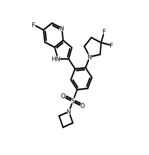 O=S(=O)(c1ccc(N2CCC(F)(F)C2)c(-c2cc3ncc(F)cc3[nH]2)c1)N1CCC1